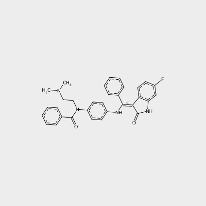 CN(C)CCN(C(=O)c1ccccc1)c1ccc(N/C(=C2\C(=O)Nc3cc(F)ccc32)c2ccccc2)cc1